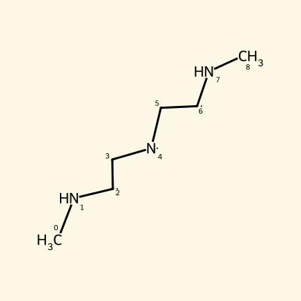 CN[CH]C[N]C[CH]NC